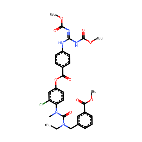 CN(C(=O)N(Cc1cccc(C(=O)OC(C)(C)C)c1)CC(C)(C)C)c1ccc(OC(=O)c2ccc(N/C(=N\C(=O)OC(C)(C)C)NC(=O)OC(C)(C)C)cc2)cc1Cl